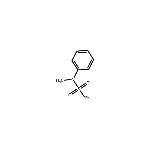 CC(C)S(=O)(=O)N(C)c1ccccc1